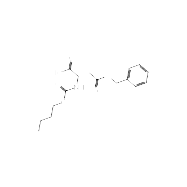 CCCCOC(=O)N[C@@H](CC(=O)OCc1ccccc1)C(=O)O